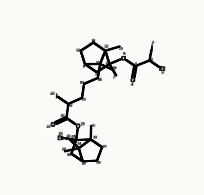 CCC(I)C(=O)OC1(C)CC2CCC1(C)C2(C)CCCC(I)C(=O)OC1(CC)CC2CCC1(C)C2(C)C